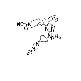 CCN1CCN(c2ccc(N(N)c3ncc(C(F)(F)F)c(-c4cc5c(o4)CCN(C(=O)CC#N)C5)n3)cc2)CC1